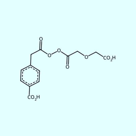 O=C(O)COCC(=O)OOC(=O)Cc1ccc(C(=O)O)cc1